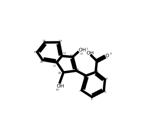 O=C(O)c1ccccc1C1=C(O)c2ccccc2C1O